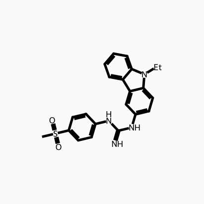 CCn1c2ccccc2c2cc(NC(=N)Nc3ccc(S(C)(=O)=O)cc3)ccc21